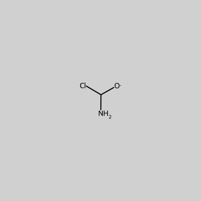 NC([O])Cl